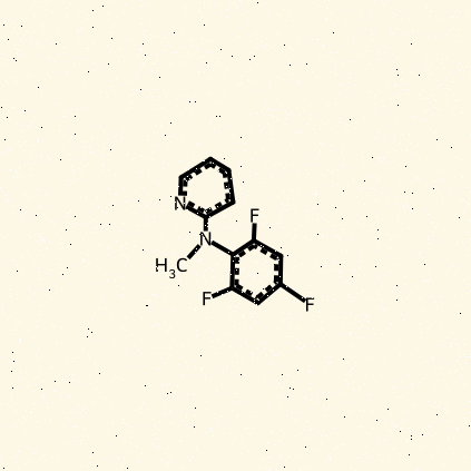 CN(c1ccccn1)c1c(F)cc(F)cc1F